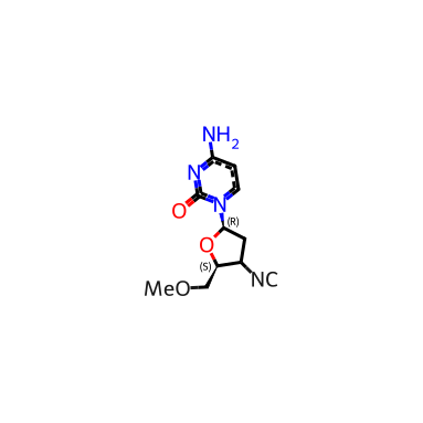 [C-]#[N+]C1C[C@H](n2ccc(N)nc2=O)O[C@@H]1COC